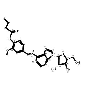 CCCC(=O)Oc1ccc(CNc2ncnc3c2ncn3[C@@H]2O[C@H](CO)C(O)[C@@H]2O)cc1OC